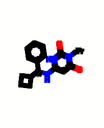 CC(C)n1c(=O)cc(N[C@H](c2ccccc2)C2CCC2)[nH]c1=O